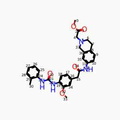 COC(=O)CN1CCc2ccc(NC(=O)Cc3ccc(NC(=O)Nc4ccccc4C)c(OC)c3)cc2C1